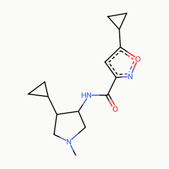 CN1CC(NC(=O)c2cc(C3CC3)on2)C(C2CC2)C1